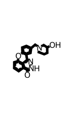 O=c1[nH]nc2c3c(cccc13)Oc1ccc(CN3CCCC(O)C3)cc1-2